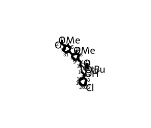 COC(=O)c1ccc(-c2ccc(CCN(C[C@H](O)c3cccc(Cl)c3)C(=O)OC(C)(C)C)cc2OC)cc1